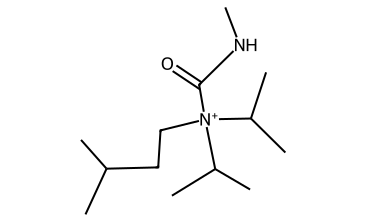 CNC(=O)[N+](CCC(C)C)(C(C)C)C(C)C